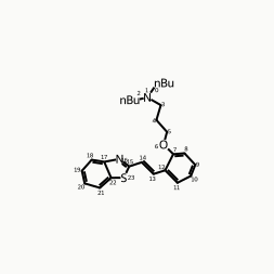 CCCCN(CCCC)CCCOc1ccccc1C=Cc1nc2ccccc2s1